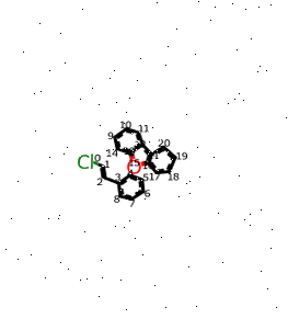 ClC=Cc1ccccc1.c1ccc2c(c1)oc1ccccc12